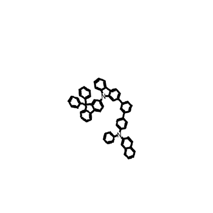 c1ccc(N(c2ccc(-c3cccc(-c4ccc5c6ccccc6n(-c6ccc7c(c6)C(c6ccccc6)(c6ccccc6)c6ccccc6-7)c5c4)c3)cc2)c2ccc3ccccc3c2)cc1